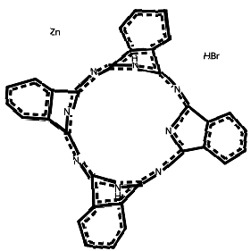 Br.[Zn].c1ccc2c(c1)-c1nc-2nc2[nH]c(nc3nc(nc4[nH]c(n1)c1ccccc41)-c1ccccc1-3)c1ccccc21